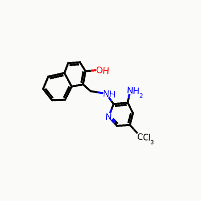 Nc1cc(C(Cl)(Cl)Cl)cnc1NCc1c(O)ccc2ccccc12